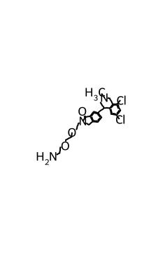 CN1Cc2c(Cl)cc(Cl)cc2C(c2ccc3c(c2)C(=O)N(CCOCCOCCN)C3)C1